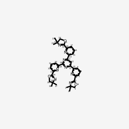 CC1(C)COC(c2cccc(-c3cc(-c4cccc(C5=NC(C)(C)CO5)n4)nc(-c4cccc(C5=NC(C)(C)CO5)n4)n3)n2)=N1